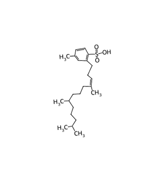 CC(=CCCc1cc(C)ccc1S(=O)(=O)O)CCCC(C)CCCC(C)C